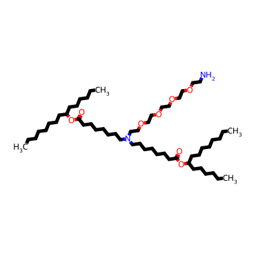 CCCCCCCCC(CCCCCC)OC(=O)CCCCCCCN(CCCCCCCC(=O)OC(CCCCCC)CCCCCCCC)CCOCCOCCOCCOCCN